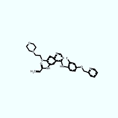 C=CC(=O)Nc1cc2c(Nc3ccc(OCc4ccccn4)cc3F)ncnc2cc1OCCN1CCOCC1